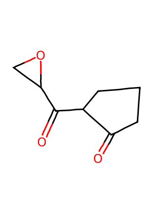 O=C1CCCC1C(=O)C1CO1